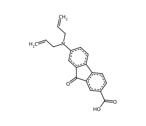 C=CCN(CC=C)c1ccc2c(c1)C(=O)c1cc(C(=O)O)ccc1-2